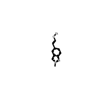 CCOC=Cc1ccc2nn(C)cc2c1